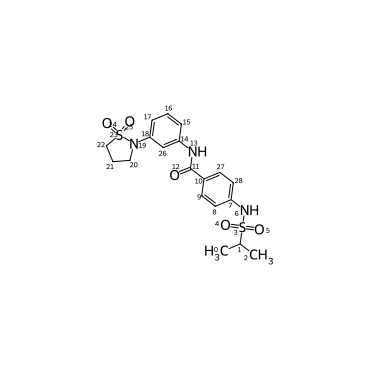 CC(C)S(=O)(=O)Nc1ccc(C(=O)Nc2cccc(N3CCCS3(=O)=O)c2)cc1